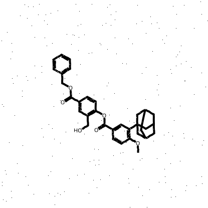 COc1ccc(C(=O)Oc2ccc(C(=O)OCc3ccccc3)cc2CO)cc1C12CC3CC(CC(C3)C1)C2